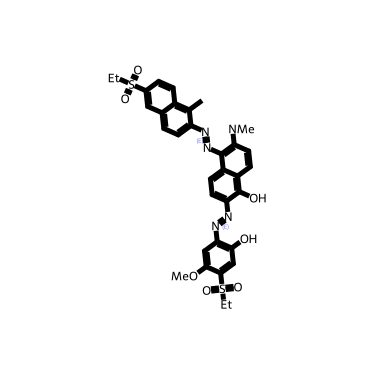 CCS(=O)(=O)c1ccc2c(C)c(/N=N/c3c(NC)ccc4c(O)c(/N=N/c5cc(OC)c(S(=O)(=O)CC)cc5O)ccc34)ccc2c1